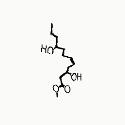 CCCC(O)CC/C=C\CC(O)CC(=O)OC